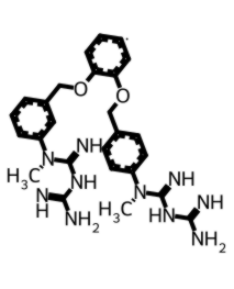 CN(C(=N)NC(=N)N)c1ccc(COc2c[c]ccc2OCc2cccc(N(C)C(=N)NC(=N)N)c2)cc1